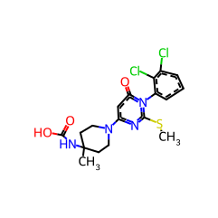 CSc1nc(N2CCC(C)(NC(=O)O)CC2)cc(=O)n1-c1cccc(Cl)c1Cl